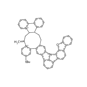 C=C1CC2C(CCc3cc4c(cc3-c3cc(C(C)(C)C)cc[n+]31)c1cccc3c5ccc6c7ccccc7oc6c5n4c13)c1ccccc1-c1cccc[n+]12